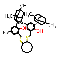 CC12CC3CC(C)(C1)CC(c1cc(C(C)(C)C)cc(CSC4CCCCCCC4SCc4cc(C(C)(C)C)cc([C@@]56CC7CC(C)(C[C@@](C)(C7)C5)C6)c4O)c1O)(C3)C2